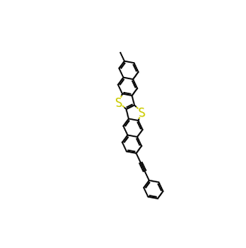 Cc1ccc2cc3c(cc2c1)sc1c2cc4ccc(C#Cc5ccccc5)cc4cc2sc31